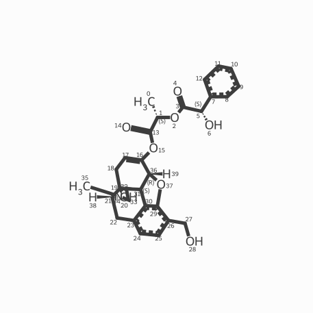 C[C@H](OC(=O)[C@@H](O)c1ccccc1)C(=O)OC1=CC[C@@]2(O)[C@H]3Cc4ccc(CO)c5c4[C@@]2(CCN3C)[C@H]1O5